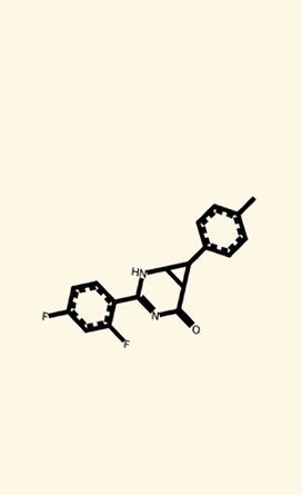 Cc1ccc(C2C3NC(c4ccc(F)cc4F)=NC(=O)C32)cc1